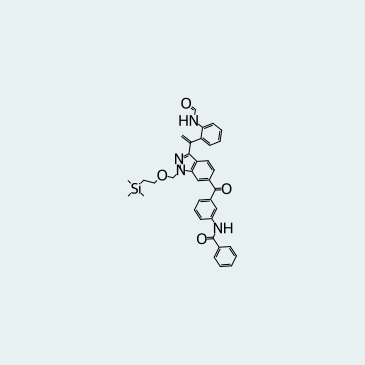 C=C(c1ccccc1NC=O)c1nn(COCC[Si](C)(C)C)c2cc(C(=O)c3cccc(NC(=O)c4ccccc4)c3)ccc12